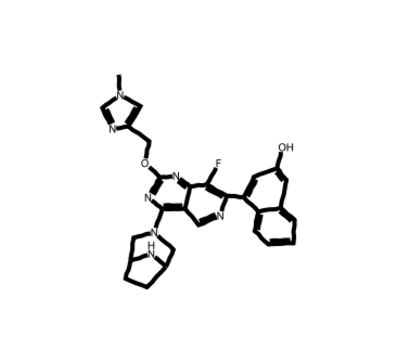 Cn1cnc(COc2nc(N3CC4CCC(C3)N4)c3cnc(-c4cc(O)cc5ccccc45)c(F)c3n2)c1